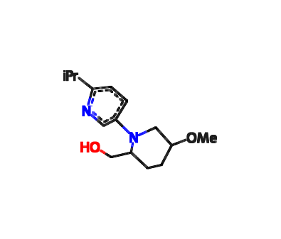 COC1CCC(CO)N(c2ccc(C(C)C)nc2)C1